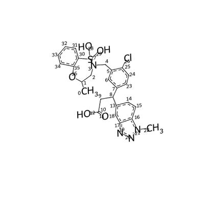 CC1CN(Cc2cc(C(CC(=O)O)c3ccc4c(c3)nnn4C)ccc2Cl)S(O)(O)c2ccccc2O1